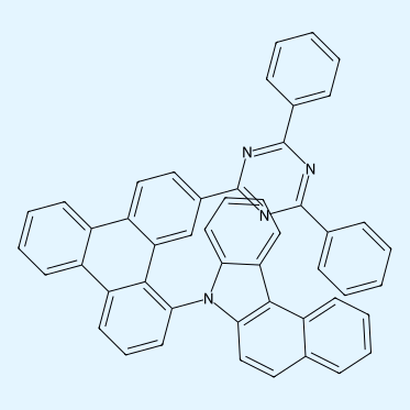 c1ccc(-c2nc(-c3ccccc3)nc(-c3ccc4c5ccccc5c5cccc(-n6c7ccccc7c7c8ccccc8ccc76)c5c4c3)n2)cc1